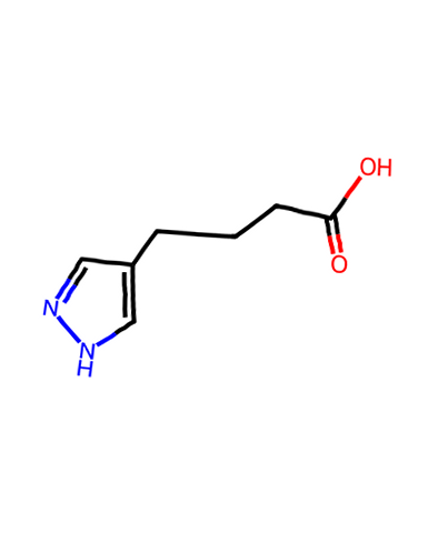 O=C(O)CCCc1cn[nH]c1